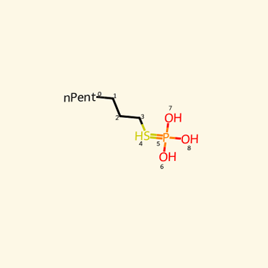 CCCCCCCC[SH]=P(O)(O)O